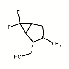 CN1CC2C([C@H]1CO)C2(F)F